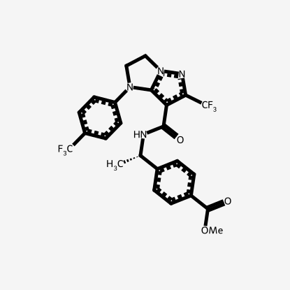 COC(=O)c1ccc([C@H](C)NC(=O)c2c(C(F)(F)F)nn3c2N(c2ccc(C(F)(F)F)cc2)CC3)cc1